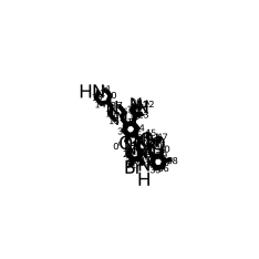 COc1cc(N2CCN(C3CCNCC3)CC2)c(-c2cnn(C)c2)cc1Nc1ncc(Br)c(Nc2ccc(C)c(C)c2OP(OC)OC)n1